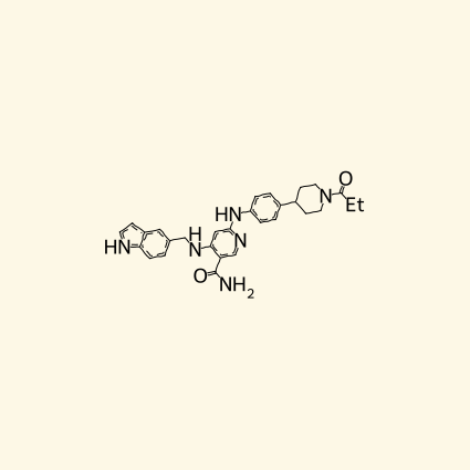 CCC(=O)N1CCC(c2ccc(Nc3cc(NCc4ccc5[nH]ccc5c4)c(C(N)=O)cn3)cc2)CC1